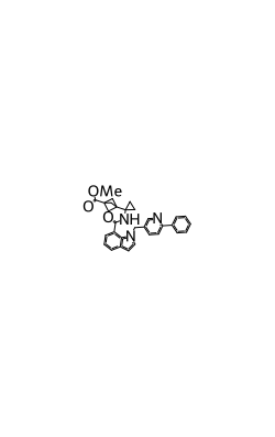 COC(=O)C12CC(C3(NC(=O)c4cccc5ccn(Cc6ccc(-c7ccccc7)nc6)c45)CC3)(C1)C2